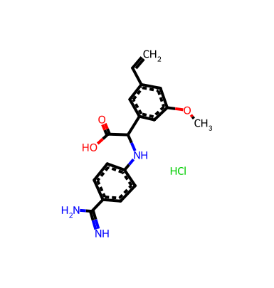 C=Cc1cc(OC)cc(C(Nc2ccc(C(=N)N)cc2)C(=O)O)c1.Cl